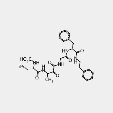 CC(C)C[C@H](NC(=O)O)C(=O)NC(C)C(=O)C(=O)NCC(=O)N[C@@H](Cc1ccccc1)C(=O)NCCc1ccccc1